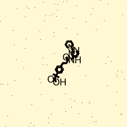 CC(C)(C(=O)O)c1ccc(CCC(=O)Nc2ccnc(N3CCCCC3)n2)cc1